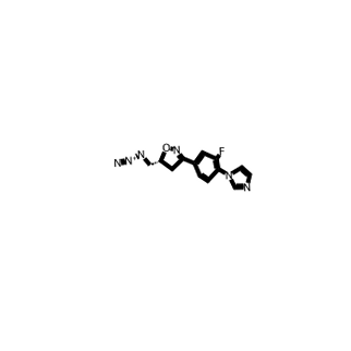 [N-]=[N+]=NC[C@H]1CC(c2ccc(-n3ccnc3)c(F)c2)=NO1